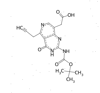 C#CCc1ncc(CC(=O)O)c2nc(NC(=O)OC(C)(C)C)[nH]c(=O)c12